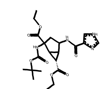 CCOC(=O)[C@H]1C2C(NC(=O)c3c[nH]cn3)CC(NC(=O)OC(C)(C)C)(C(=O)OCC)C21